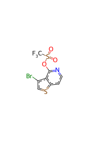 O=S(=O)(Oc1nccc2scc(Br)c12)C(F)(F)F